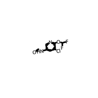 O=CNc1cnc(OC(F)F)c(Cl)c1